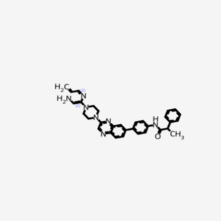 C=C/C=N\C(=C/N)N1CCN(c2cnc3ccc(-c4ccc(NC(=O)C(C)c5ccccc5)cc4)cc3n2)CC1